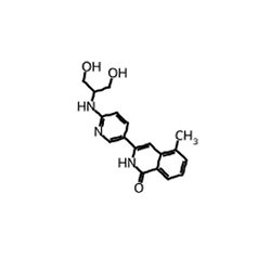 Cc1cccc2c(=O)[nH]c(-c3ccc(NC(CO)CO)nc3)cc12